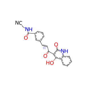 N#CCNC(=O)c1cccc(/C=C/C(=O)c2c(O)c3ccccc3[nH]c2=O)c1